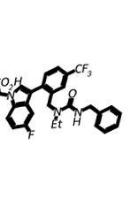 CCN(Cc1cc(C(F)(F)F)ccc1-c1cn(CC(=O)O)c2ccc(F)cc12)C(=O)NCc1ccccc1